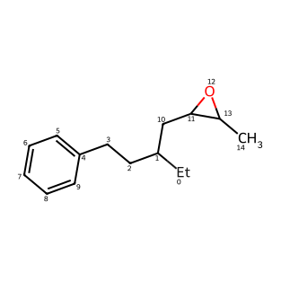 CCC(CCc1ccccc1)CC1OC1C